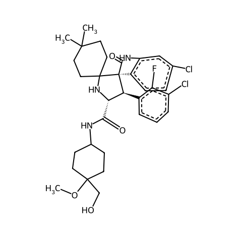 COC1(CO)CCC(NC(=O)[C@@H]2NC3(CCC(C)(C)CC3)[C@@]3(C(=O)Nc4cc(Cl)ccc43)[C@H]2c2cccc(Cl)c2F)CC1